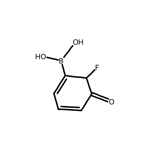 O=C1C=CC=C(B(O)O)C1F